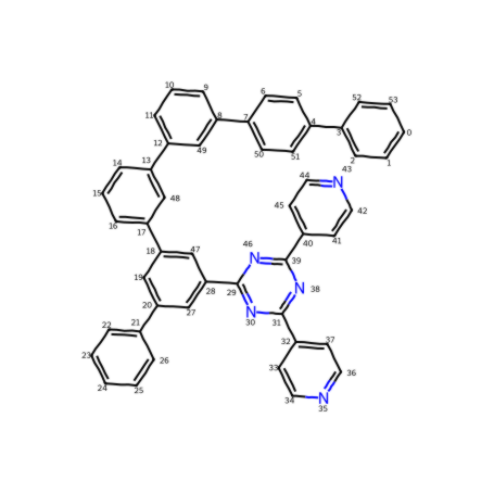 c1ccc(-c2ccc(-c3cccc(-c4cccc(-c5cc(-c6ccccc6)cc(-c6nc(-c7ccncc7)nc(-c7ccncc7)n6)c5)c4)c3)cc2)cc1